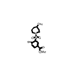 COC(=O)c1ccc(Br)c(S(=O)(=O)N2CCCC(O)CC2)c1